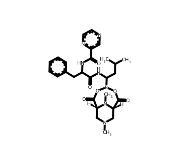 CC(C)CC(NC(=O)C(Cc1ccccc1)NC(=O)c1cnccn1)B1OC(=O)[C@H]2CN(C)C[C@@H](C(=O)O1)N2C